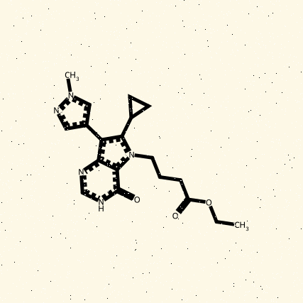 CCOC(=O)CCCn1c(C2CC2)c(-c2cnn(C)c2)c2nc[nH]c(=O)c21